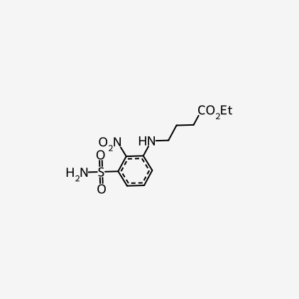 CCOC(=O)CCCNc1cccc(S(N)(=O)=O)c1[N+](=O)[O-]